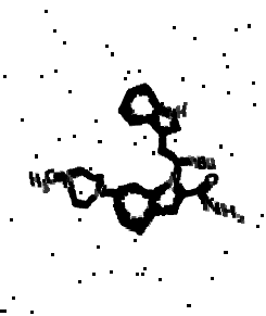 CCCCC(Cc1c[nH]c2ccccc12)n1c(C(N)=O)cc2ccc(N3CCN(C)CC3)cc21